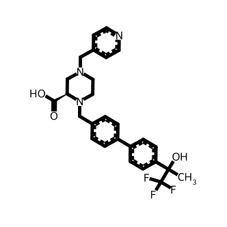 CC(O)(c1ccc(-c2ccc(CN3CCN(Cc4ccncc4)C[C@@H]3C(=O)O)cc2)cc1)C(F)(F)F